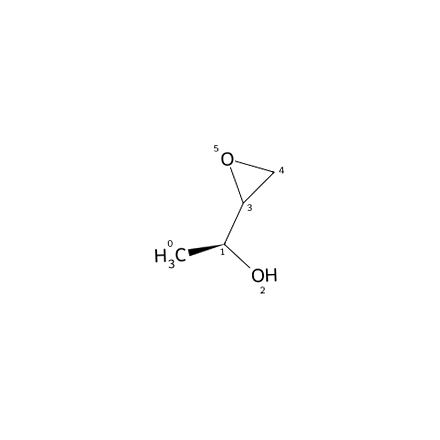 C[C@H](O)C1CO1